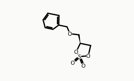 O=S1(=O)OC[C@H](COCc2ccccc2)O1